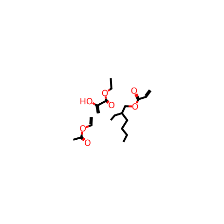 C=C(O)C(=O)OCC.C=CC(=O)OCC(CC)CCCC.C=COC(C)=O